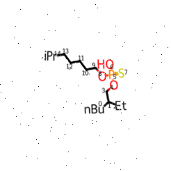 CCCCC(CC)COP(O)(=S)OCCCCCC(C)C